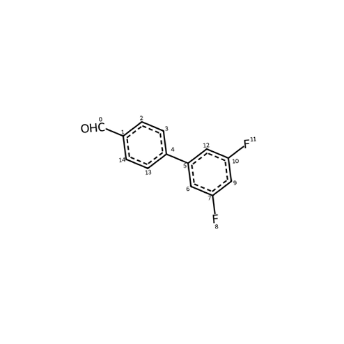 O=Cc1ccc(-c2cc(F)cc(F)c2)cc1